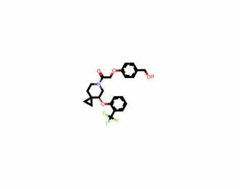 O=C(COc1ccc(CO)cc1)N1CCC2(CC2)[C@H](Oc2ccccc2C(F)(F)F)C1